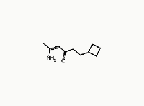 C/C(N)=C/C(=O)CCC1CCC1